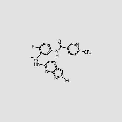 CCn1cc2ncc(N[C@@H](C)c3cc(NC(=O)c4ccc(C(F)(F)F)nc4)ccc3F)nc2n1